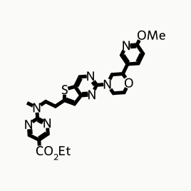 CCOC(=O)c1cnc(N(C)CCc2cc3nc(N4CCOC(c5ccc(OC)nc5)C4)ncc3s2)nc1